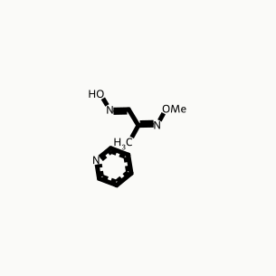 CON=C(C)C=NO.c1ccncc1